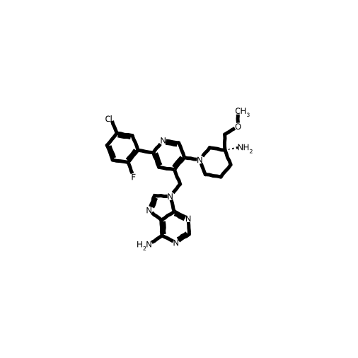 COC[C@@]1(N)CCCN(c2cnc(-c3cc(Cl)ccc3F)cc2Cn2cnc3c(N)ncnc32)C1